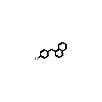 CCc1ccc(Cc2cccc3[c]cccc23)cc1